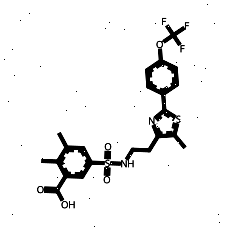 Cc1cc(S(=O)(=O)NCCc2nc(-c3ccc(OC(F)(F)F)cc3)sc2C)cc(C(=O)O)c1C